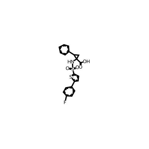 O=C(O)C1(NS(=O)(=O)c2ccc(-c3ccc(F)cc3)s2)CC1c1ccccc1